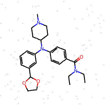 CCN(CC)C(=O)c1ccc(N(c2cccc(C3OCCO3)c2)C2CCN(C)CC2)cc1